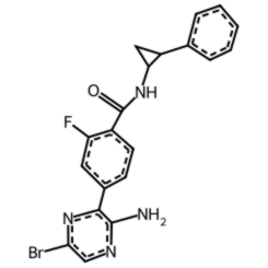 Nc1ncc(Br)nc1-c1ccc(C(=O)NC2CC2c2ccccc2)c(F)c1